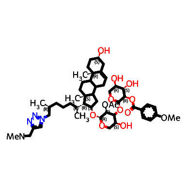 CNCc1cn(C[C@H](C)CCC[C@@H](C)[C@H]2[C@@H](O[C@H]3OC[C@H](O)C(O[C@@H]4OC[C@@H](O)[C@H](O)[C@H]4OC(=O)c4ccc(OC)cc4)[C@H]3OC(C)=O)CC3C4CC=C5C[C@@H](O)CC[C@]5(C)C4CC[C@@]32C)nn1